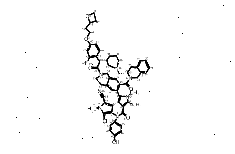 Cc1c(N(C(=O)c2cc(-c3cc4c(cc3C(=O)N3Cc5ccccc5C[C@H]3CN3CCCCC3)CN(C(=O)Cc3ccc(OCCC5CCO5)cc3F)CC4)n(C)c2C)c2ccc(O)cc2)cc(C#N)n1C